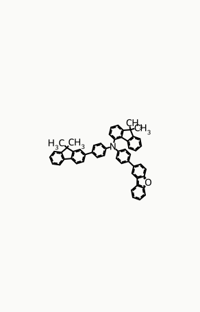 CC1(C)c2ccccc2-c2ccc(-c3ccc(N(c4ccc(-c5ccc6oc7ccccc7c6c5)cc4)c4cccc5c4-c4ccccc4C5(C)C)cc3)cc21